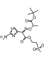 CC(ON=C(C(=O)OCCS(C)(=O)=O)c1csc(N)n1)C(=O)OC(C)(C)C